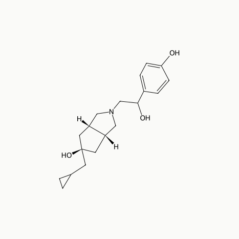 Oc1ccc(C(O)CN2C[C@@H]3C[C@](O)(CC4CC4)C[C@@H]3C2)cc1